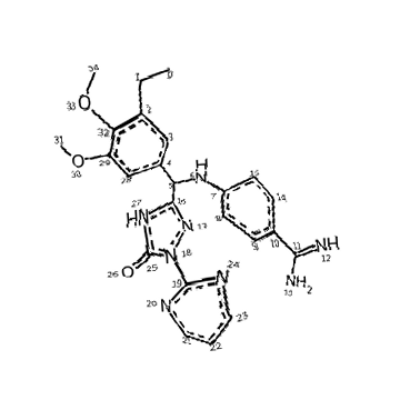 CCc1cc(C(Nc2ccc(C(=N)N)cc2)c2nn(-c3ncccn3)c(=O)[nH]2)cc(OC)c1OC